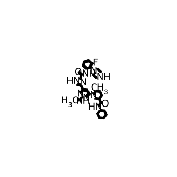 CNc1nc(-c2c[nH]c(C(=O)Nc3cccc(F)c3N3CCNCC3)n2)cc(N2CC(C(=O)NC3CCCCC3)CCC2C)n1